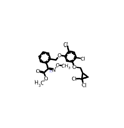 CO/N=C(/C(=O)OC)c1ccccc1COc1cc(OCC2CC2(Cl)Cl)c(Cl)cc1Cl